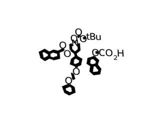 CC(C)(C)OC(=O)ON1CCC(c2ccc(OCCOc3ccccc3)cc2)C(OC(=O)c2ccc3ccccc3c2)C1.O=C(O)Oc1ccc2ccccc2c1